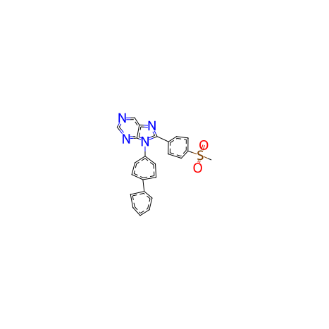 CS(=O)(=O)c1ccc(-c2nc3cncnc3n2-c2ccc(-c3ccccc3)cc2)cc1